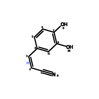 N#C/C=C\c1ccc(O)c(O)c1